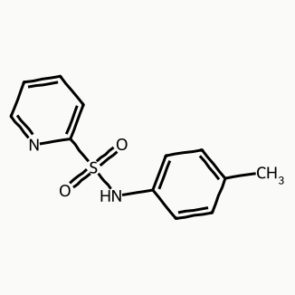 Cc1ccc(NS(=O)(=O)c2ccccn2)cc1